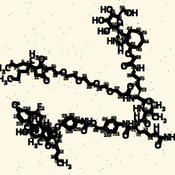 CCCCC(C)(CCCC)C1CC(=O)N(CCOCCOCCOCCOCCC(=O)N[C@H](CCCCNC(=O)COC2CCCCCC3=C2NNN3[C@@H]2O[C@H](CO)[C@H](O)[C@H](O)[C@H]2O)C(=O)N[C@H](C(=O)N[C@@H](CCCNC(N)=O)C(=O)Nc2ccc(COC(=O)Nc3ccc(OCC(=O)[C@@]45OC(CCC)O[C@@H]4C[C@H]4[C@@H]6C[C@H](F)C7=CC(=O)C=C[C@]7(C)[C@@]6(F)[C@@H](O)C[C@@]45C)cc3)cc2)C(C)C)C1=O